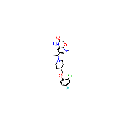 C=C(C1=CN(C)C2OCC(=O)NC2=C1)N1CCC(COc2ccc(F)cc2Cl)CC1